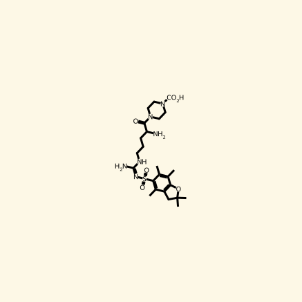 Cc1c(C)c(S(=O)(=O)N=C(N)NCCCC(N)C(=O)N2CCN(C(=O)O)CC2)c(C)c2c1OC(C)(C)C2